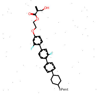 C=C(CO)C(=O)OCCOc1ccc(-c2ccc(-c3ccc(C4CCC(CCCCC)CC4)cc3)c(F)c2)c(F)c1